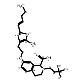 CCCC=Cc1nc(CCOc2ccc3c(c2)C(C(=O)O)N(CCC(F)(F)F)CC3)c(C)o1